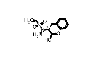 C=CS(=O)(=O)N(N)[C@@H](Cc1ccccc1)C(=O)O